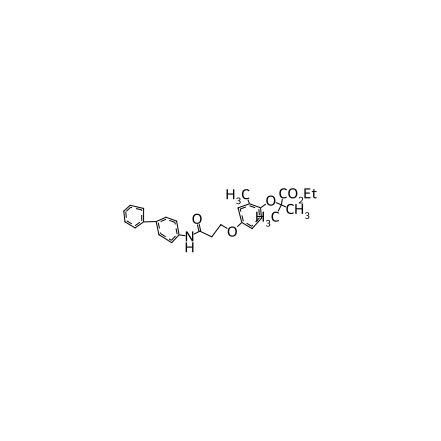 CCOC(=O)C(C)(C)Oc1ccc(OCCC(=O)Nc2ccc(-c3ccccc3)cc2)cc1C